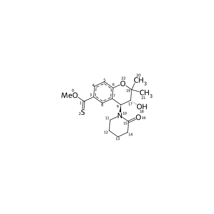 COC(=S)c1ccc2c(c1)[C@H](N1CCCCC1=O)[C@@H](O)C(C)(C)O2